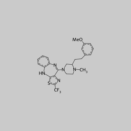 COc1cccc(CCC2CN(C3=Nc4ccccc4Nc4sc(C(F)(F)F)nc43)CCN2C)c1